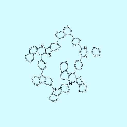 c1ccc(-c2nc(-c3ccc(-c4cncc5ccc(-c6ccc7sc8c(-c9ccc(-n%10c%11ccccc%11c%11cc(-n%12c%13ccccc%13c%13ccccc%13%12)ccc%11%10)cc9)c9c(ccc%10ccccc%109)nc8c7c6)cc45)cc3)cc(-c3ccc(-c4c5sc6ccccc6c5nc5ccc6ccccc6c45)cc3)n2)cc1